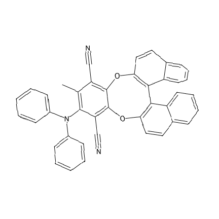 Cc1c(N(c2ccccc2)c2ccccc2)c(C#N)c2oc3ccc4ccccc4c3c3c(ccc4ccccc43)oc2c1C#N